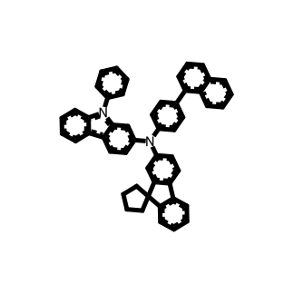 c1ccc(-n2c3ccccc3c3ccc(N(c4ccc(-c5cccc6ccccc56)cc4)c4ccc5c(c4)C4(CCCC4)c4ccccc4-5)cc32)cc1